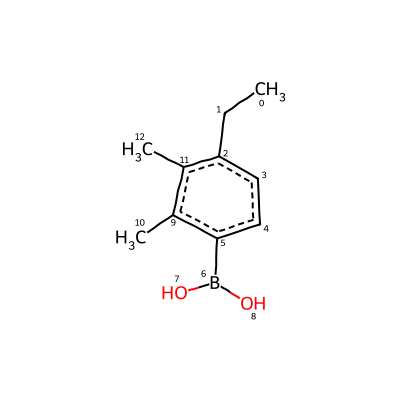 CCc1ccc(B(O)O)c(C)c1C